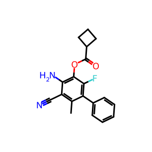 Cc1c(C#N)c(N)c(OC(=O)C2CCC2)c(F)c1-c1ccccc1